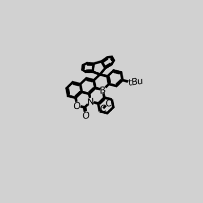 CC(C)(C)c1ccc2c(c1)B1C3=C(C4CCC3CC4)N3C(=O)Oc4cccc5cc(c1c3c45)C21c2ccccc2-c2ccccc21